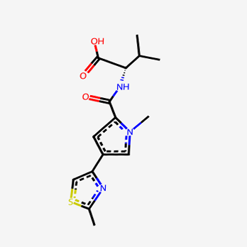 Cc1nc(-c2cc(C(=O)N[C@H](C(=O)O)C(C)C)n(C)c2)cs1